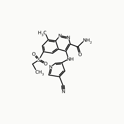 CCS(=O)(=O)c1cc(C)c2nnc(C(N)=O)c(Nc3cncc(C#N)c3)c2c1